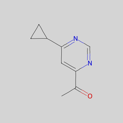 CC(=O)c1cc(C2CC2)ncn1